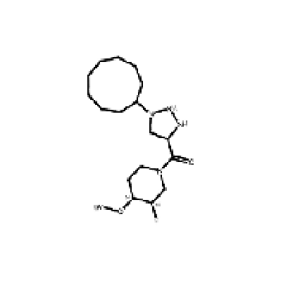 CC(C)O[C@H]1CCN(C(=O)C2CN(C3CCCCCCCC3)NN2)C[C@H]1F